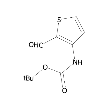 CC(C)(C)OC(=O)Nc1ccsc1C=O